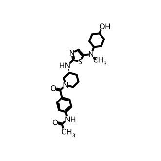 CC(=O)Nc1ccc(C(=O)N2CCC[C@@H](Nc3ncc(N(C)C4CCC(O)CC4)s3)C2)cc1